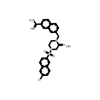 Cl.N=C(N)c1ccc2ccc(CN3CCN(S(=O)(=O)c4ccc5cc(Cl)ccc5c4)CC3=O)cc2c1